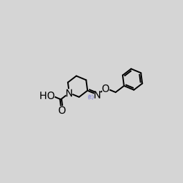 O=C(O)N1CCC/C(=N\OCc2ccccc2)C1